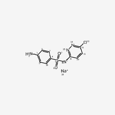 Nc1ccc(S(=O)(=O)[N-]c2ccc(Cl)nn2)cc1.[Na+]